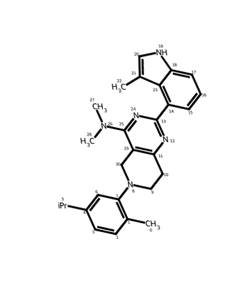 Cc1ccc(C(C)C)cc1N1CCc2nc(-c3cccc4[nH]cc(C)c34)nc(N(C)C)c2C1